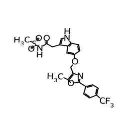 Cc1oc(-c2ccc(C(F)(F)F)cc2)nc1COc1ccc2[nH]cc(CC(=O)NS(C)(=O)=O)c2c1